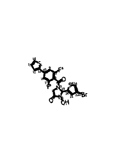 O=C1CN(C(=O)c2c(F)cc(-c3cccs3)cc2F)C(c2cc(Br)cs2)N1O